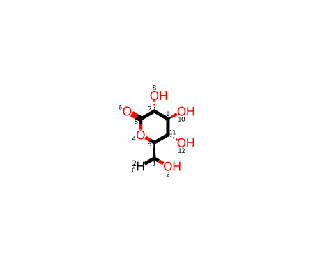 [2H]C(O)[C@H]1OC(=O)[C@H](O)[C@@H](O)[C@@H]1O